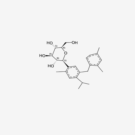 Cc1ccc(Cc2cc([C@@H]3O[C@H](CO)[C@@H](O)[C@H](O)[C@H]3O)c(C)cc2C(C)C)c(C)c1